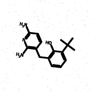 CC(C)(C)c1cccc(Cc2ccc(N)nc2N)c1O